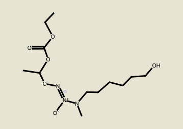 CCOC(=O)OC(C)O/N=[N+](\[O-])N(C)CCCCCCO